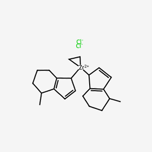 CC1CCCC2=C1C=C[CH]2[Zr+2]1([CH]2C=CC3=C2CCCC3C)[CH2][CH2]1.[Cl-].[Cl-]